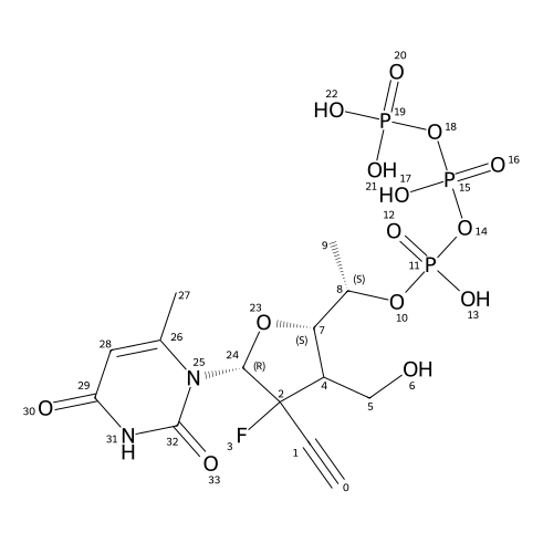 C#CC1(F)C(CO)[C@@H]([C@H](C)OP(=O)(O)OP(=O)(O)OP(=O)(O)O)O[C@H]1n1c(C)cc(=O)[nH]c1=O